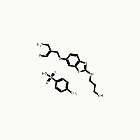 Cc1ccc(S(=O)(=O)O)cc1.NCC(=CF)COc1ccc2nc(NCCCO)oc2c1